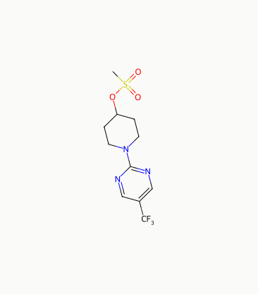 CS(=O)(=O)OC1CCN(c2ncc(C(F)(F)F)cn2)CC1